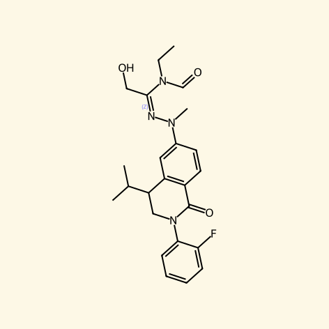 CCN(C=O)/C(CO)=N\N(C)c1ccc2c(c1)C(C(C)C)CN(c1ccccc1F)C2=O